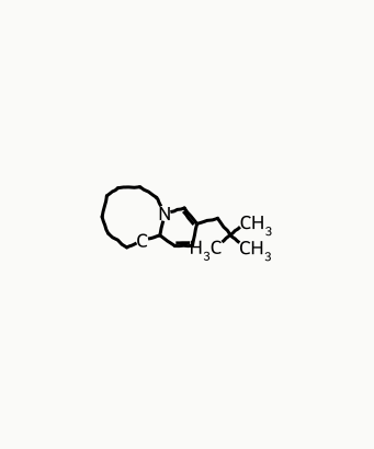 CC(C)(C)CC1=CN2CCCCCCCCC2C=C1